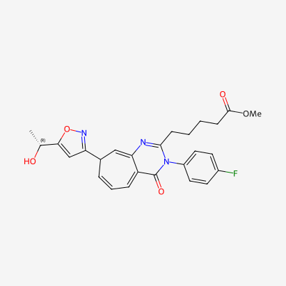 COC(=O)CCCCc1nc2c(c(=O)n1-c1ccc(F)cc1)=CC=CC(c1cc([C@@H](C)O)on1)C=2